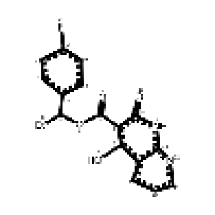 CCC(OC(=O)c1c(O)c2cccnc2[nH]c1=O)c1ccc(F)cc1